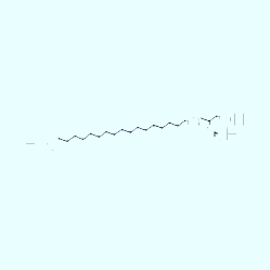 CCCCCCCCCCCCCCCCCCOCC(CO)SC